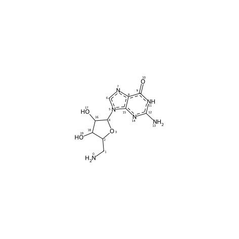 NCC1OC(n2cnc3c(=O)[nH]c(N)nc32)C(O)C1O